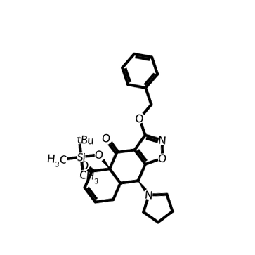 CC(C)(C)[Si](C)(C)O[C@]12C(=O)C=CCC1[C@H](N1CCCC1)c1onc(OCc3ccccc3)c1C2=O